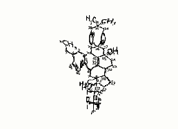 CCc1ccc(C2CC3(C)C(CCC3(O)C(F)(F)C(F)(F)F)C3CCC4(O)CC5(CCC4=C23)OCC(C)(C)CO5)cc1